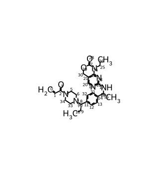 C=CC(=O)N1CCN([C@H](CC)c2ccc([C@H](C)Nc3ncc4c(n3)N(CC)C(=O)OC4)cc2)CC1